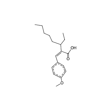 CCCCCC(CC)C(=Cc1ccc(OC)cc1)C(=O)O